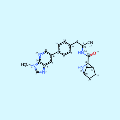 Cn1cnc2cc(-c3ccc(C[C@@H](C#N)NC(=O)C4NC5CCC4C5)cc3)cnc21